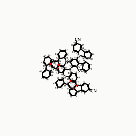 N#Cc1ccc2c(c1)c1ccccc1n2-c1ccc2c(c1)N(c1ccccc1-c1ccccc1)c1cc(-n3c4ccccc4c4ccccc43)cc3c1B2c1c(cc(-n2c4ccccc4c4cc(C#N)ccc42)c2c1sc1ccccc12)N3c1ccccc1-c1ccccc1